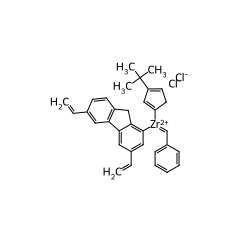 C=Cc1ccc2c(c1)-c1cc(C=C)c[c](/[Zr+2](=[CH]\c3ccccc3)[C]3=CC(C(C)(C)C)=CC3)c1C2.[Cl-].[Cl-]